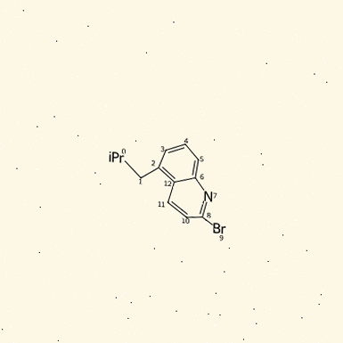 CC(C)Cc1cccc2nc(Br)ccc12